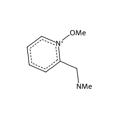 CNCc1cccc[n+]1OC